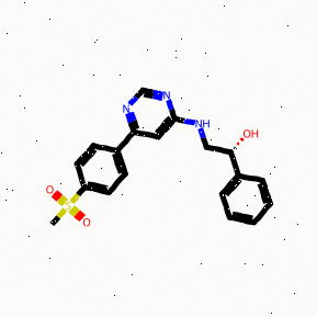 CS(=O)(=O)c1ccc(-c2cc(NC[C@H](O)c3ccccc3)ncn2)cc1